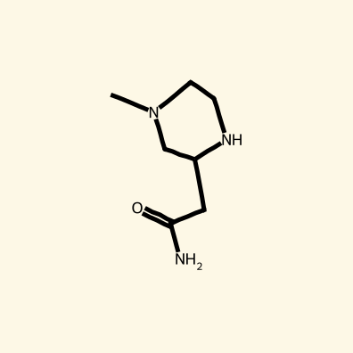 CN1CCNC(CC(N)=O)C1